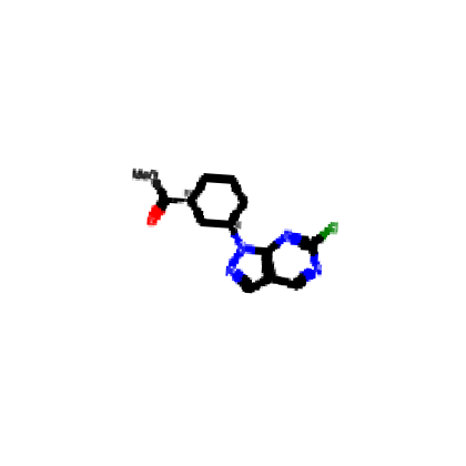 COC(=O)[C@@H]1CCC[C@@H](n2ncc3cnc(Cl)nc32)C1